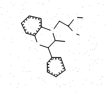 CCOC(CN1c2ccccc2OC(c2ccccc2)C1C)OCC